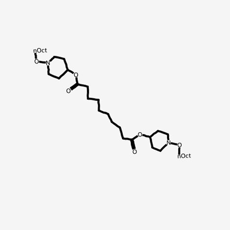 CCCCCCCCON1CCC(OC(=O)CCCCCCCCC(=O)OC2CCN(OCCCCCCCC)CC2)CC1